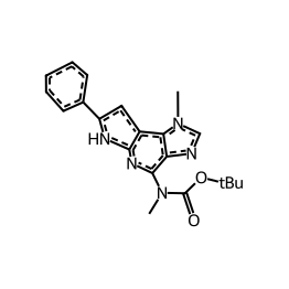 CN(C(=O)OC(C)(C)C)c1nc2[nH]c(-c3ccccc3)cc2c2c1ncn2C